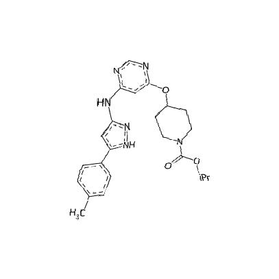 Cc1ccc(-c2cc(Nc3cc(OC4CCN(C(=O)OC(C)C)CC4)ncn3)n[nH]2)cc1